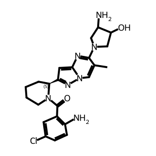 Cc1cn2nc([C@@H]3CCCCN3C(=O)c3cc(Cl)ccc3N)cc2nc1N1CC(N)C(O)C1